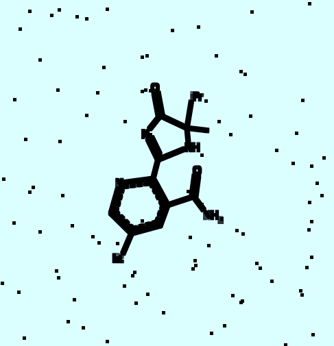 CCc1cnc(C2=NC(=O)C(C)(C(C)C)N2)c(C(N)=O)c1